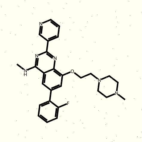 CNc1nc(-c2cccnc2)nc2c(OCCN3CCN(C)CC3)cc(-c3ccccc3F)cc12